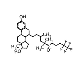 CC(CCC1Cc2cc(O)ccc2C2CCC3(C)C(O)CCC3C12)CC(C)(C)[S+]([O-])CCCC(F)(F)C(F)(F)F